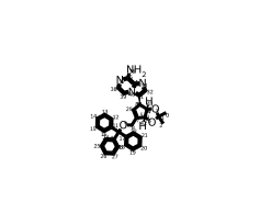 CC1(C)O[C@@H]2[C@H](O1)C(COC(c1ccccc1)(c1ccccc1)c1ccccc1)=C[C@H]2c1cnc2c(N)nccn12